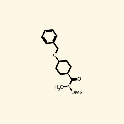 CON(C)C(=O)[C@H]1CC[C@@H](OCc2ccccc2)CC1